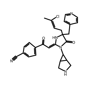 C/C(Cl)=C/CC1(Cc2ccncc2)N/C(=C\C(=O)c2ccc(C#N)cc2)N(C2C3CNCC32)C1=O